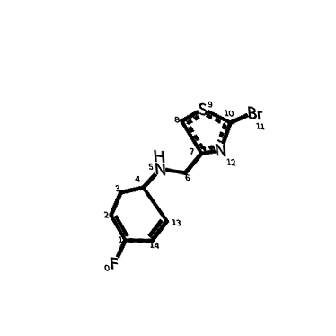 FC1=CCC(NCc2csc(Br)n2)C=C1